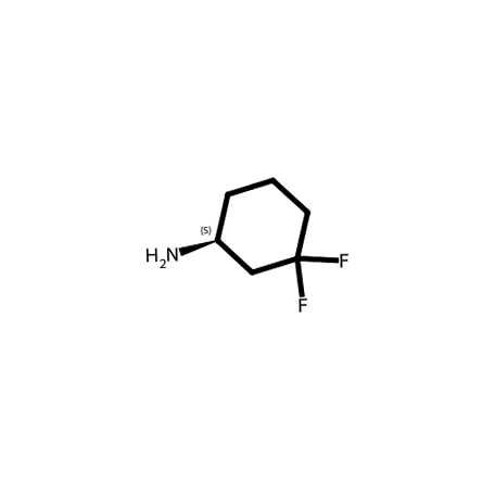 N[C@H]1CCCC(F)(F)C1